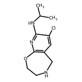 CC(C)Nc1nc2c(cc1Cl)CNCCO2